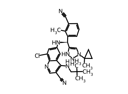 Cc1c(C#N)cccc1[C@H](Nc1cc(Cl)c2ncc(C#N)c(NCC(C)(C)C)c2c1)C1=CN(C2(C)CC2)NN1